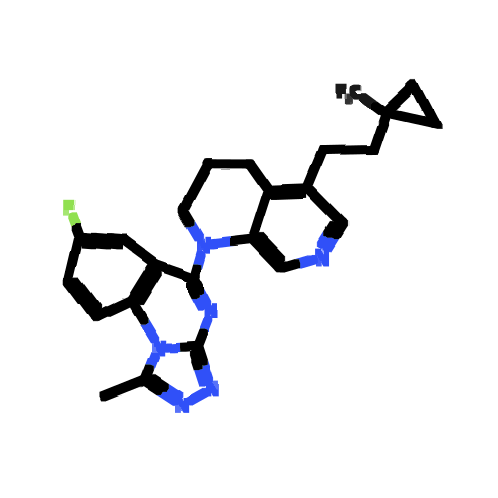 Cc1nnc2nc(N3CCCc4c(CCC5(C(F)(F)F)CC5)cncc43)c3cc(F)ccc3n12